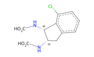 O=C(O)N[C@H]1Cc2cccc(Cl)c2[C@H]1NC(=O)O